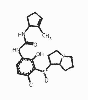 CC1=CCCC1NC(=O)Nc1ccc(Cl)c([S+]([O-])C2CCN3CCCC23)c1O